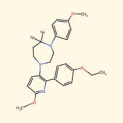 [2H]C1([2H])CCN(c2ccc(OC)nc2-c2ccc(OCC)cc2)CCN1c1ccc(OC)cc1